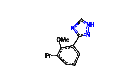 COc1c(-c2nc[nH]n2)cccc1C(C)C